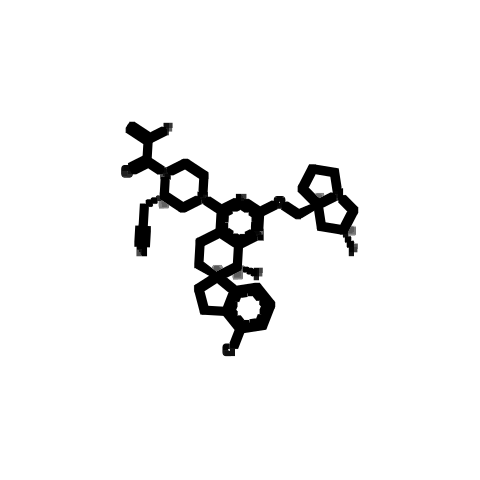 C=C(F)C(=O)N1CCN(c2nc(OC[C@@]34CCCN3C[C@H](F)C4)nc3c2CC[C@@]2(CCc4c(Cl)cccc42)[C@H]3F)C[C@@H]1CC#N